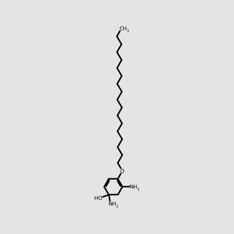 CCCCCCCCCCCCCCCCCCOC1=C(N)CC(N)(O)C=C1